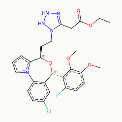 CCOC(=O)CC1=NNNN1CC[C@H]1O[C@H](c2c(F)ccc(OC)c2OC)c2cc(Cl)ccc2-n2cccc21